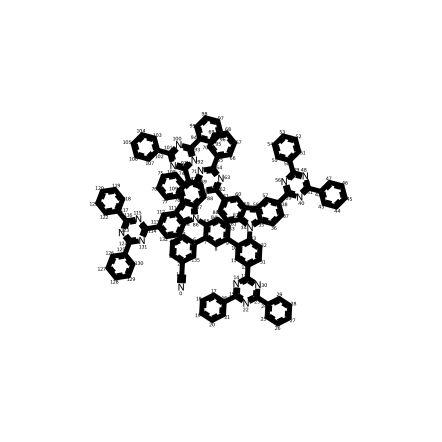 N#Cc1cccc(-c2cc(-c3cc(-c4nc(-c5ccccc5)nc(-c5ccccc5)n4)ccc3-n3c4ccc(-c5nc(-c6ccccc6)nc(-c6ccccc6)n5)cc4c4cc(-c5nc(-c6ccccc6)nc(-c6ccccc6)n5)ccc43)ccc2-n2c3ccc(-c4nc(-c5ccccc5)nc(-c5ccccc5)n4)cc3c3cc(-c4nc(-c5ccccc5)nc(-c5ccccc5)n4)ccc32)c1